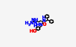 N=C(N)NCCC[C@@H](NCC(c1ccccc1)c1ccccc1)C(=O)NCc1ccc(O)cc1